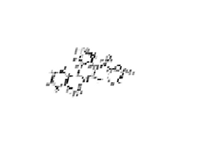 CCCC1=C(C#N)C(c2ccccc2Cl)c2c[nH]nc2N1C(=O)COC(C)=O